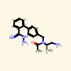 CCCCC(=O)N(Cc1ccc(-c2ccccc2C(=N)NN)cc1)[C@H](C=O)CN